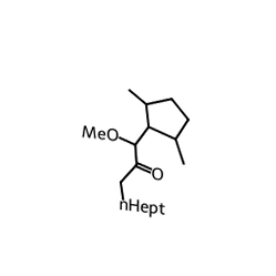 CCCCCCCCC(=O)C(OC)C1C(C)CCC1C